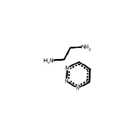 NCCN.c1cnnnc1